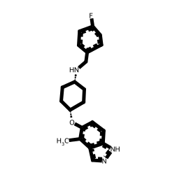 Cc1c(O[C@H]2CC[C@@H](NCc3ccc(F)cc3)CC2)ccc2[nH]ncc12